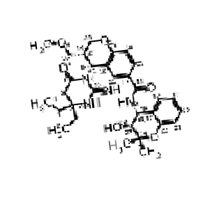 CCC1(CC)CC(=O)N([C@H]2c3cc(C(=O)N[C@@H]4c5ccccc5OC(C)(C)[C@H]4O)ccc3OC[C@H]2COC)C(=N)N1